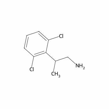 CC(CN)c1c(Cl)cccc1Cl